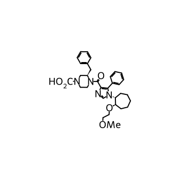 COCCO[C@@H]1CCCCC[C@H]1n1cnc(C(=O)N2CCN(C(=O)O)C[C@H]2Cc2ccccc2)c1-c1ccccc1